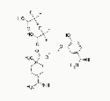 CC(=N)N1CCC(C)(C(=O)OCCOc2cc(C(=N)N)ccc2O)CC1.O=C(O)C(F)(F)F.O=C(O)C(F)(F)F